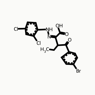 CCC(C(=O)c1ccc(Br)cc1)/C(=N/Nc1ccc(Cl)cc1Cl)C(=O)O